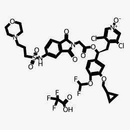 O=C(CN1C(=O)c2ccc(NS(=O)(=O)CCCN3CCOCC3)cc2C1=O)O[C@@H](Cc1c(Cl)c[n+]([O-])cc1Cl)c1ccc(OC(F)F)c(OCC2CC2)c1.O=C(O)C(F)(F)F